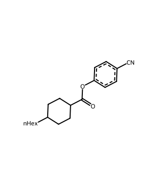 CCCCCCC1CCC(C(=O)Oc2ccc(C#N)cc2)CC1